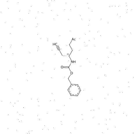 C#CC[C@H](CCC(C)=O)NC(=O)OCc1ccccc1